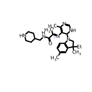 CCC1(C)CN(C2NC=NC(C)=C2/N=C(\C)C(=O)NCC2CCNCC2)c2ccc(C)cc21